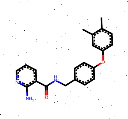 Cc1ccc(Oc2ccc(CNC(=O)c3cccnc3N)cc2)cc1C